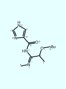 CCCCOC(C)/C(=N/C)NC(=O)c1c[nH]cn1